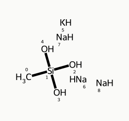 C[Si](O)(O)O.[KH].[NaH].[NaH].[NaH]